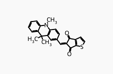 CN1c2ccccc2C(C)(C)c2cc(/C=C3\C(=O)c4ccsc4C3=O)ccc21